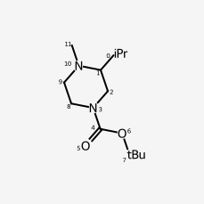 CC(C)C1CN(C(=O)OC(C)(C)C)CCN1C